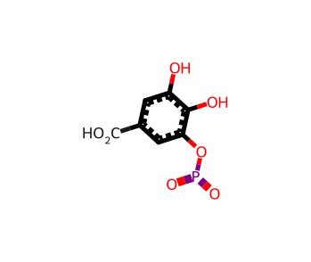 O=C(O)c1cc(O)c(O)c(OP(=O)=O)c1